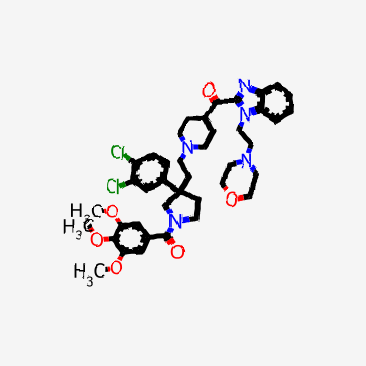 COc1cc(C(=O)N2CCC(CCN3CCC(C(=O)c4nc5ccccc5n4CCN4CCOCC4)CC3)(c3ccc(Cl)c(Cl)c3)C2)cc(OC)c1OC